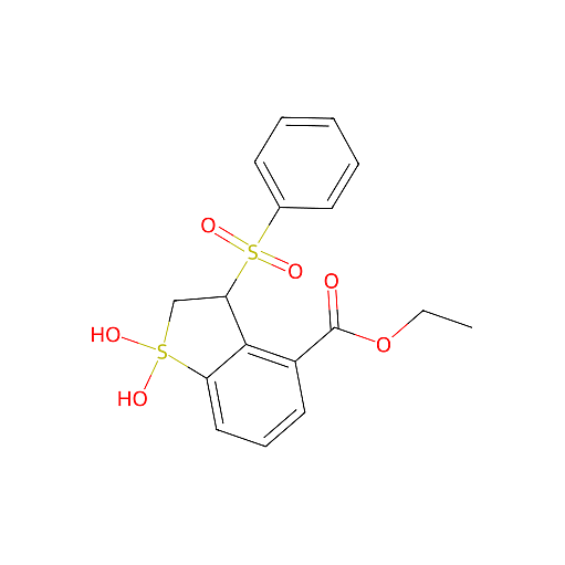 CCOC(=O)c1cccc2c1C(S(=O)(=O)c1ccccc1)CS2(O)O